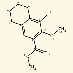 COC(=O)c1cc2c(c(I)c1OC)CCCC2